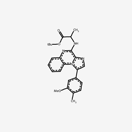 COc1cc(-c2cnc3c(NC(C)C(=O)OC(C)(C)C)nc4ccccc4n23)ccc1C